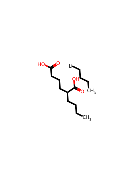 CCCCC(CCCC(=O)O)C(=O)O.[Li][CH2]CCC